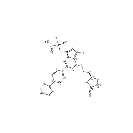 Cc1cnn2cc(-c3ccc(N4CCNCC4)cc3)nc(OCC[C@H]3CNC(=O)C3)c12.O=C(O)C(F)(F)F